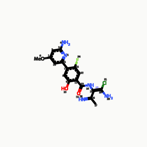 COc1cc(N)nc(-c2cc(O)c(C(=O)N/C(C(C)=N)=C(/N)Cl)cc2F)c1